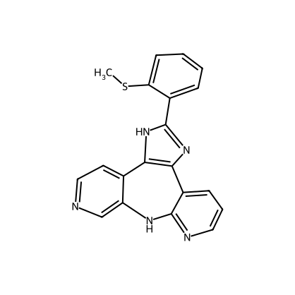 CSc1ccccc1-c1nc2c([nH]1)-c1ccncc1Nc1ncccc1-2